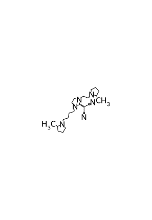 CC1CCCN1CCCCN1CCN(CCN2CCCC2C)C1=C(C#N)C#N